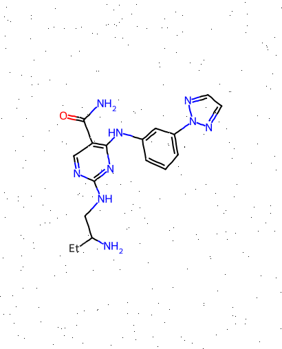 CCC(N)CNc1ncc(C(N)=O)c(Nc2cccc(-n3nccn3)c2)n1